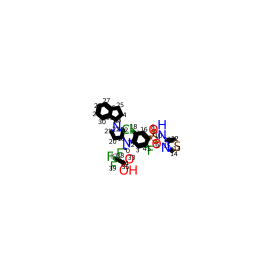 CN(c1cc(F)c(S(=O)(=O)Nc2cscn2)cc1Cl)C1CCN([C@H]2CCc3ccccc32)C1.O=C(O)C(F)(F)F